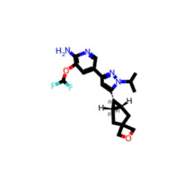 CC(C)n1nc(-c2cnc(N)c(OC(F)F)c2)cc1[C@@H]1[C@@H]2CC3(COC3)C[C@@H]21